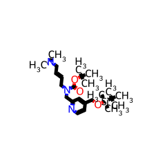 CN(C)CC=CCN(Cc1cc(CO[Si](C)(C)C(C)(C)C)ccn1)C(=O)OC(C)(C)C